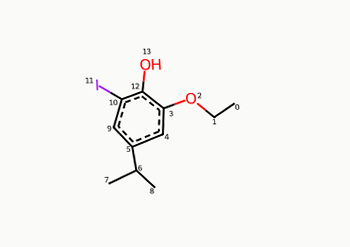 CCOc1cc(C(C)C)cc(I)c1O